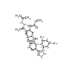 C=CC(=O)Nc1cc(Nc2cc(N3OCC[C@@H]3c3cc(F)cc(F)c3)ncn2)c(OC)nc1N(C)CCN(C)C